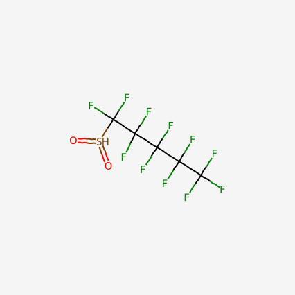 O=[SH](=O)C(F)(F)C(F)(F)C(F)(F)C(F)(F)C(F)(F)F